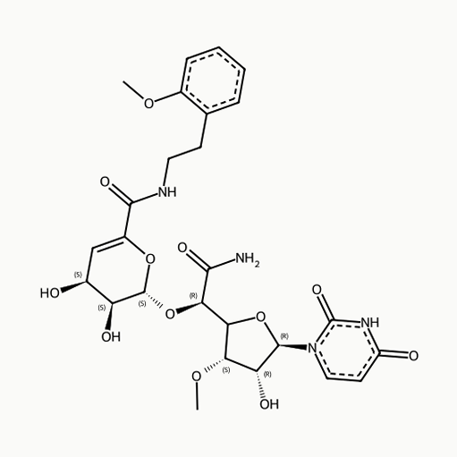 COc1ccccc1CCNC(=O)C1=C[C@H](O)[C@H](O)[C@@H](O[C@@H](C(N)=O)C2O[C@@H](n3ccc(=O)[nH]c3=O)[C@H](O)[C@@H]2OC)O1